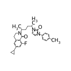 Cc1ccc(-n2ccn(C(C)CCC(C)N3CCc4cc(C5CC5)cc(F)c4C3=O)c2=O)cc1